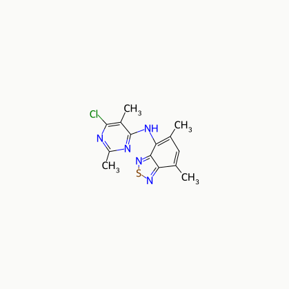 Cc1nc(Cl)c(C)c(Nc2c(C)cc(C)c3nsnc23)n1